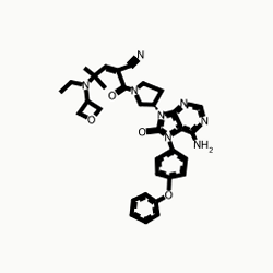 CCN(C1COC1)C(C)(C)/C=C(/C#N)C(=O)N1CC[C@H](n2c(=O)n(-c3ccc(Oc4ccccc4)cc3)c3c(N)ncnc32)C1